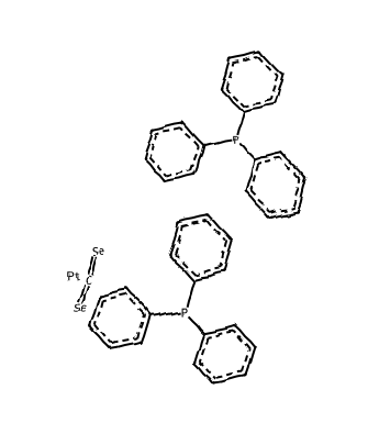 [Pt].[Se]=C=[Se].c1ccc(P(c2ccccc2)c2ccccc2)cc1.c1ccc(P(c2ccccc2)c2ccccc2)cc1